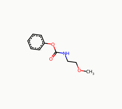 COCCNC(=O)Oc1[c]cccc1